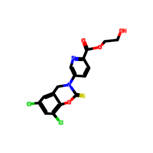 O=C(OCCO)c1ccc(N2Cc3cc(Cl)cc(Cl)c3OC2=S)cn1